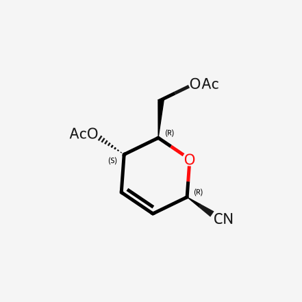 CC(=O)OC[C@H]1O[C@@H](C#N)C=C[C@@H]1OC(C)=O